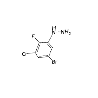 NNc1cc(Br)cc(Cl)c1F